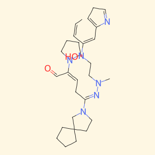 C/C=C\C(=C/C1=CCC=N1)N(O)CCN(C)/N=C(\C/C=C(\C=O)N1CCCC1)N1CCC2(CCCC2)C1